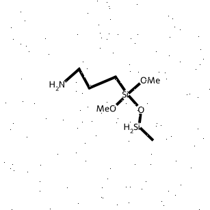 CO[Si](CCCN)(OC)O[SiH2]C